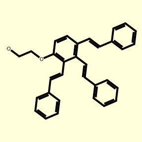 [O]CCOc1ccc(C=Cc2ccccc2)c(C=Cc2ccccc2)c1C=Cc1ccccc1